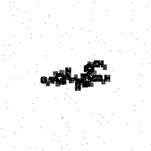 Cc1csc(-c2nc(NCCNc3ccc([N+](=O)[O-])cn3)ncc2C(=O)O)c1